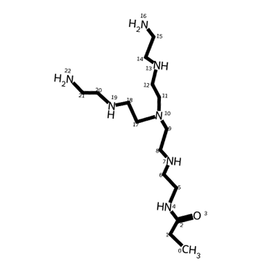 CCC(=O)NCCNCCN(CCNCCN)CCNCCN